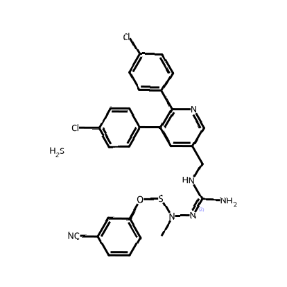 CN(/N=C(/N)NCc1cnc(-c2ccc(Cl)cc2)c(-c2ccc(Cl)cc2)c1)SOc1cccc(C#N)c1.S